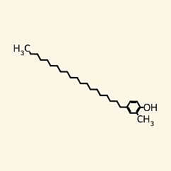 CCCCCCCCCCCCCCCCCCCCc1ccc(O)c(C)c1